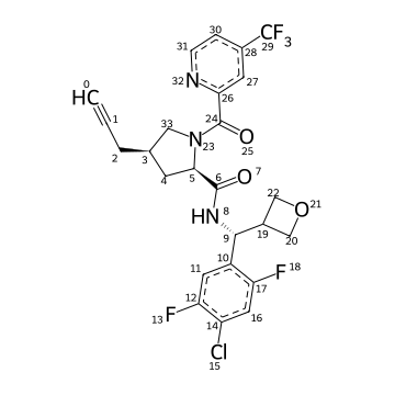 C#CC[C@@H]1C[C@H](C(=O)N[C@@H](c2cc(F)c(Cl)cc2F)C2COC2)N(C(=O)c2cc(C(F)(F)F)ccn2)C1